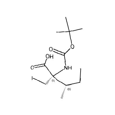 CC[C@H](C)[C@](CI)(NC(=O)OC(C)(C)C)C(=O)O